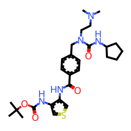 CN(C)CCN(Cc1ccc(C(=O)Nc2cscc2NC(=O)OC(C)(C)C)cc1)C(=O)NC1CCCC1